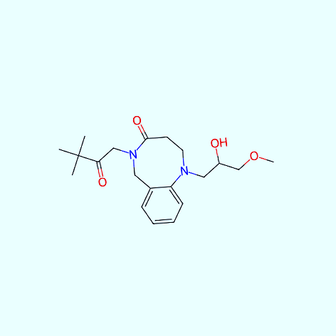 COCC(O)CN1CCC(=O)N(CC(=O)C(C)(C)C)Cc2ccccc21